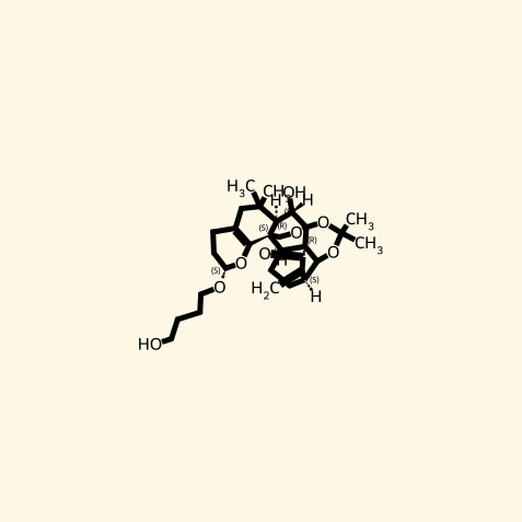 C=C1C(=O)[C@@]23C4OC(C)(C)OC25OC[C@]2(C6=C(CC[C@@H](OCCCCO)O6)CC(C)(C)[C@H]2[C@@H]5O)[C@@H]3CC[C@@H]14